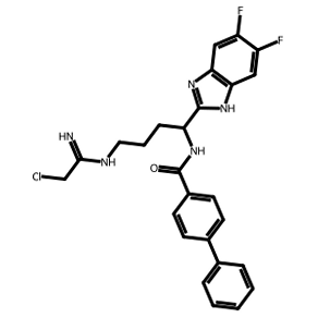 N=C(CCl)NCCCC(NC(=O)c1ccc(-c2ccccc2)cc1)c1nc2cc(F)c(F)cc2[nH]1